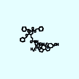 CC(CCNC(=O)CCC(CP(=O)(OCc1ccccc1)OCc1ccccc1)C(=O)OCc1ccccc1)[C@H]1CCC2C3CCC4C[C@H](O)CC[C@]4(C)C3C[C@H](O)[C@@]21C